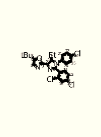 CCC1C(c2ncc(C(C)(C)C)o2)N=C(c2ccc(Cl)cc2Cl)N1c1ccc(Cl)cc1